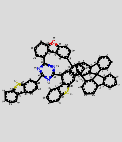 c1ccc2c(c1)-c1ccccc1C21c2ccccc2-c2cccc(-c3ccc(-c4ccc5oc6cccc(-c7nc(-c8ccc9c(c8)sc8ccccc89)nc(-c8cccc9sc%10ccccc%10c89)n7)c6c5c4)cc3)c21